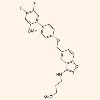 COCCCNc1noc2ccc(COc3ccc(-c4cc(F)c(F)cc4OC)cc3)cc12